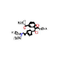 CCCCc1oc2ccc(C(=O)OC)cc2c1C(=O)c1ccc(CCN(CCCC)CCCC)cc1